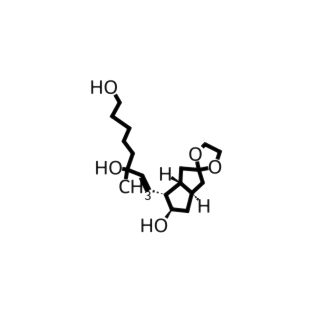 CC(O)(C=C[C@@H]1[C@@H]2CC3(C[C@H]2C[C@H]1O)OCCO3)CCCCCO